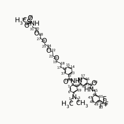 CCN(CC)c1ccc(NC(=O)c2cccc(CCCOCCOCCOCCOCCNS(C)(=O)=O)c2)c(-c2cc(C(=O)NCc3cccc(C(F)(F)F)c3)ccn2)c1